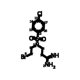 N=C(N)CCN(CCBr)S(=O)(=O)c1ccc(Cl)cc1